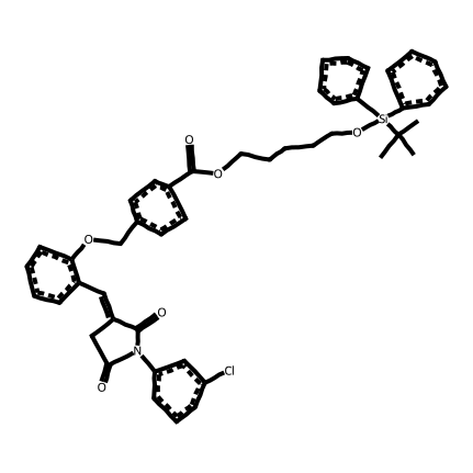 CC(C)(C)[Si](OCCCCCOC(=O)c1ccc(COc2ccccc2/C=C2\CC(=O)N(c3cccc(Cl)c3)C2=O)cc1)(c1ccccc1)c1ccccc1